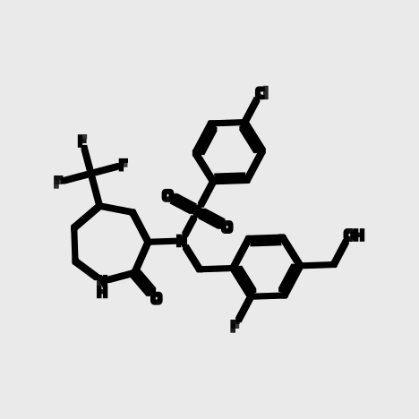 O=C1NCCC(C(F)(F)F)CC1N(Cc1ccc(CO)cc1F)S(=O)(=O)c1ccc(Cl)cc1